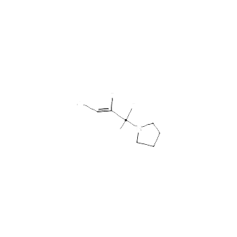 F/C(=C\Cl)C(F)(F)N1CCCC1